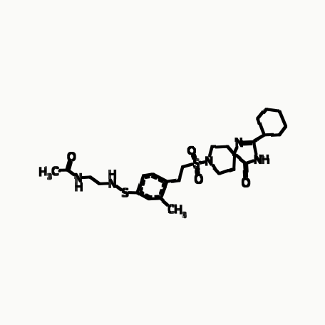 CC(=O)NCCNSc1ccc(CCS(=O)(=O)N2CCC3(CC2)N=C(C2CCCCC2)NC3=O)c(C)c1